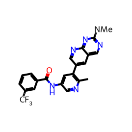 CNc1ncc2cc(-c3cc(NC(=O)c4cccc(C(F)(F)F)c4)cnc3C)cnc2n1